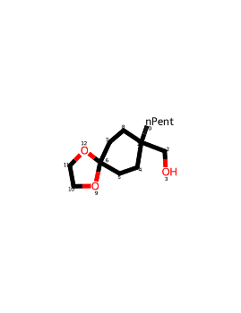 CCCCCC1(CO)CCC2(CC1)OCCO2